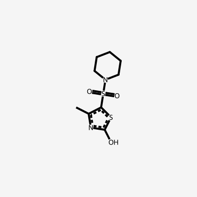 Cc1nc(O)sc1S(=O)(=O)N1CCCCC1